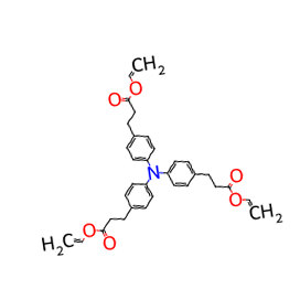 C=COC(=O)CCc1ccc(N(c2ccc(CCC(=O)OC=C)cc2)c2ccc(CCC(=O)OC=C)cc2)cc1